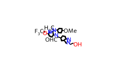 COc1ccc(N(C)c2nc(OCC(F)(F)F)ccc2/N=C(\C=O)c2ccc3nn(CCO)cc3c2)cc1